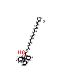 O[C@H](CCCCCCCCCCCCCCCCCCCC(F)(F)F)COC(c1ccccc1)(c1ccccc1)c1ccccc1